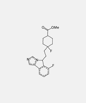 COC(=O)C1CCC(F)(CCC2c3c(F)cccc3-c3cncn32)CC1